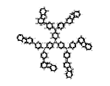 c1ccc2c(c1)oc1cc(-c3ccc(N(c4ccc(-c5cccc6c5oc5ccccc56)cc4)c4ccc(N(c5ccc(N(c6ccc(-c7ccc8c(c7)oc7ccccc78)cc6)c6ccc(-c7cccc8c7oc7ccccc78)cc6)cc5)c5ccc(N(c6ccc(-c7ccc8c(c7)oc7ccccc78)cc6)c6ccc(-c7cccc8c7oc7ccccc78)cc6)cc5)cc4)cc3)ccc12